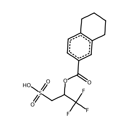 O=C(OC(CS(=O)(=O)O)C(F)(F)F)c1ccc2c(c1)CCCC2